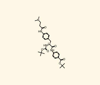 CN(C)CCC(=O)Nc1ccc(C[C@H](NC(=O)OC(C)(C)C)C(=O)Nc2ccc(C(=O)OC(C)(C)C)cc2)cc1